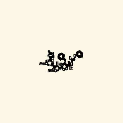 CC[C@@](C)(OC(=O)COc1ccccc1)C(=O)[C@H](Cc1ccccc1)NC(=O)[C@H](COC)NC(=O)[C@H](COC)NC(=O)c1cnc(C)s1